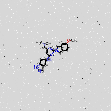 COc1ccc2c(c1)CN(c1nc(CN(C)C)cc(Nc3ccc4[nH]ncc4c3)n1)C2